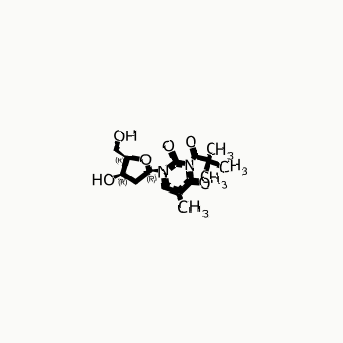 Cc1cn([C@H]2C[C@@H](O)[C@@H](CO)O2)c(=O)n(C(=O)C(C)(C)C)c1=O